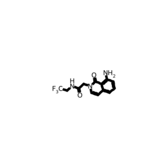 Nc1cccc2ccn(CC(=O)NCC(F)(F)F)c(=O)c12